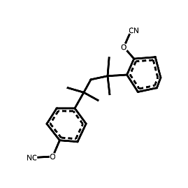 CC(C)(CC(C)(C)c1ccccc1OC#N)c1ccc(OC#N)cc1